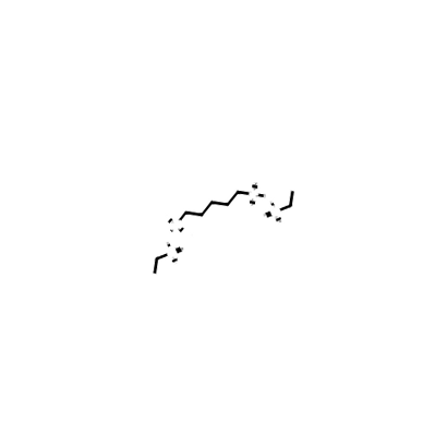 CCS(=O)(=O)OS(=O)(=O)CCCCCS(=O)(=O)OS(=O)(=O)CC